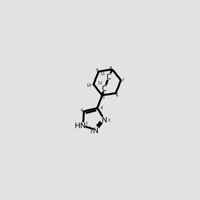 c1[nH]nnc1C12CCC(CC1)CC2